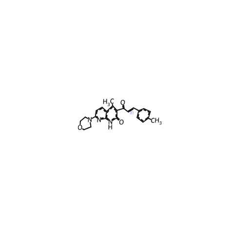 Cc1ccc(/C=C/C(=O)c2c(C)c3ccc(N4CCOCC4)nc3[nH]c2=O)cc1